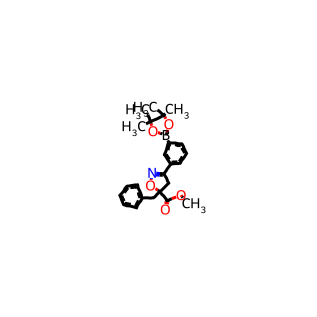 COC(=O)C1(Cc2ccccc2)CC(c2cccc(B3OC(C)(C)C(C)(C)O3)c2)=NO1